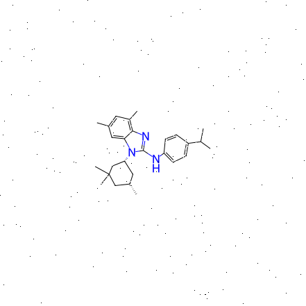 Cc1cc(C)c2nc(Nc3ccc(C(C)C)cc3)n([C@@H]3C[C@H](C)CC(C)(C)C3)c2c1